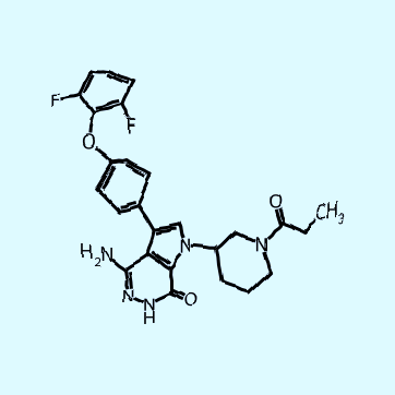 CCC(=O)N1CCCC(n2cc(-c3ccc(Oc4c(F)cccc4F)cc3)c3c(N)n[nH]c(=O)c32)C1